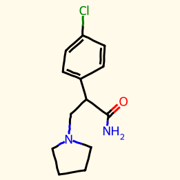 NC(=O)C(CN1CCCC1)c1ccc(Cl)cc1